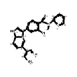 CN(C(=O)c1ccc(C2=CNC3C=CC(/C(C=N)=C/N)=CN23)cc1Cl)c1ccccn1